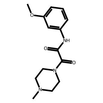 COc1cccc(NC(=O)C(=O)N2CCN(C)CC2)c1